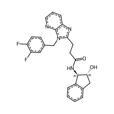 O=C(CCc1nc2cccnc2n1Cc1ccc(F)c(F)c1)N[C@@H]1c2ccccc2C[C@H]1O